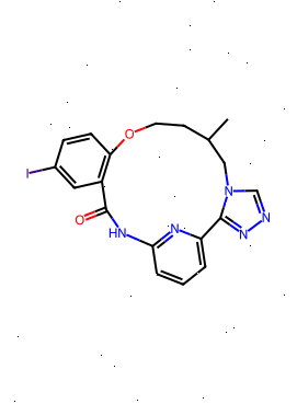 CC1CCOc2ccc(I)cc2C(=O)Nc2cccc(n2)-c2nncn2C1